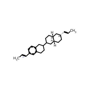 CC=C[C@@H]1CC[C@@H]2CC(C3CCc4cc(/C=C/C)ccc4C3)CC[C@@H]2C1